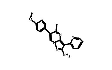 COc1ccc(-c2cn3nc(N)c(-c4ccccn4)c3nc2C)cc1